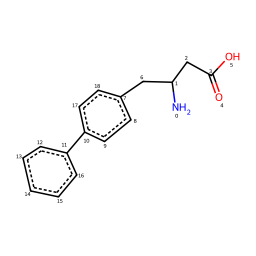 NC(CC(=O)O)Cc1ccc(-c2ccccc2)cc1